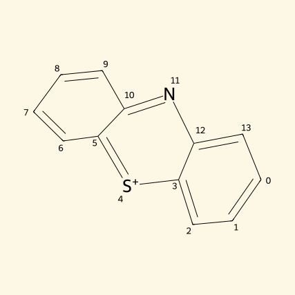 c1ccc2[s+]c3ccccc3nc2c1